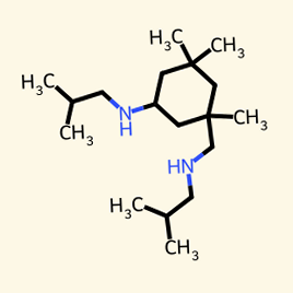 CC(C)CNCC1(C)CC(NCC(C)C)CC(C)(C)C1